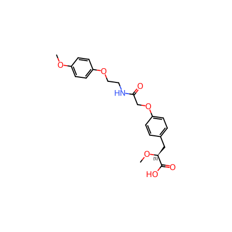 COc1ccc(OCCNC(=O)COc2ccc(C[C@H](OC)C(=O)O)cc2)cc1